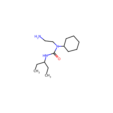 CCC(CC)NC(=O)N(CCN)C1CCCCC1